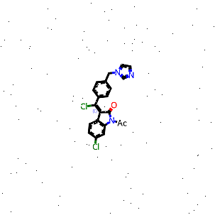 CC(=O)N1C(=O)/C(=C(/Cl)c2ccc(Cn3ccnc3)cc2)c2ccc(Cl)cc21